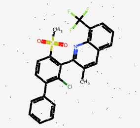 Cc1cc2cccc(C(F)(F)F)c2nc1-c1c(S(C)(=O)=O)ccc(-c2ccccc2)c1Cl